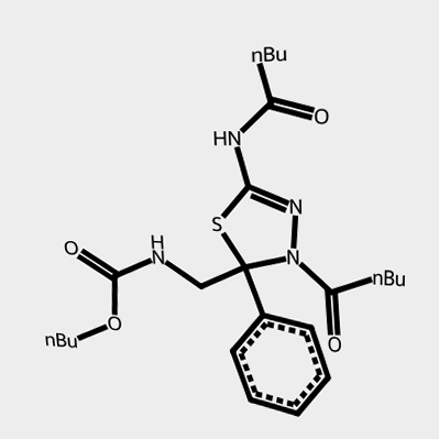 CCCCOC(=O)NCC1(c2ccccc2)SC(NC(=O)CCCC)=NN1C(=O)CCCC